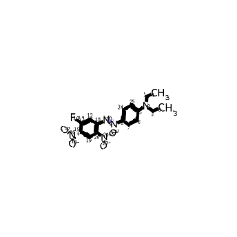 CCN(CC)c1ccc(/N=N/c2cc(F)c([N+](=O)[O-])cc2[N+](=O)[O-])cc1